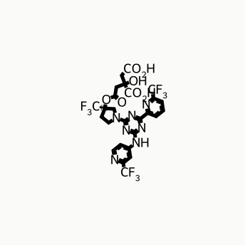 O=C(O)CC(O)(CC(=O)O[C@@]1(C(F)(F)F)CCN(c2nc(Nc3ccnc(C(F)(F)F)c3)nc(-c3cccc(C(F)(F)F)n3)n2)C1)C(=O)O